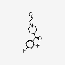 O=CCN1CCC(C(=O)c2ccc(F)cc2F)CC1